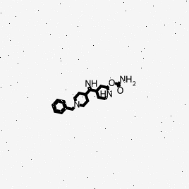 N=C(C1CCN(Cc2ccccc2)CC1)C1CCNC(OC(N)=O)C1